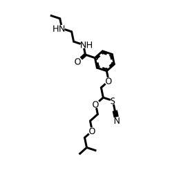 CCNCCNC(=O)c1cccc(OCC(OCCOCC(C)C)SC#N)c1